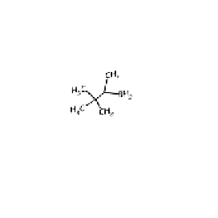 BC(C)C(C)(C)C